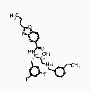 CCCc1nc2cc(C(=O)N[C@@H](Cc3cc(F)cc(F)c3)[C@@H](O)CNCc3cccc(CC)c3)ccc2o1